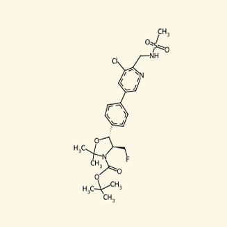 CC(C)(C)OC(=O)N1[C@H](CF)[C@@H](c2ccc(-c3cnc(CNS(C)(=O)=O)c(Cl)c3)cc2)OC1(C)C